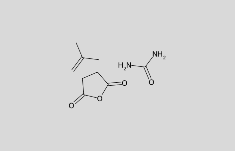 C=C(C)C.NC(N)=O.O=C1CCC(=O)O1